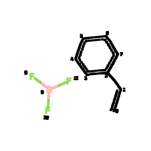 C=Cc1ccccc1.FB(F)F